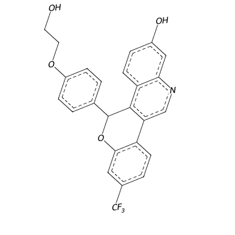 OCCOc1ccc(C2Oc3cc(C(F)(F)F)ccc3-c3cnc4cc(O)ccc4c32)cc1